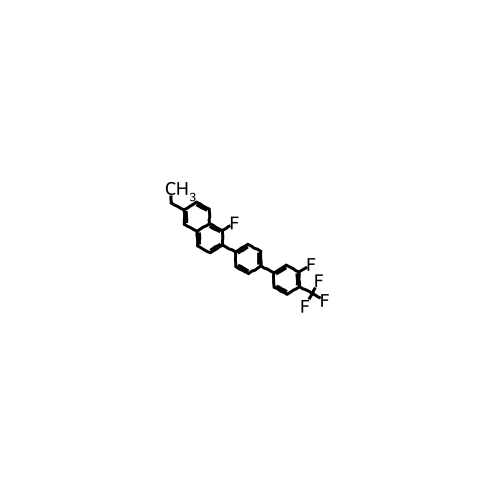 CCc1ccc2c(F)c(-c3ccc(-c4ccc(C(F)(F)F)c(F)c4)cc3)ccc2c1